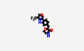 O=C1NCCOC1Cc1ccc(C2COCC(C(F)(F)F)N2)cc1